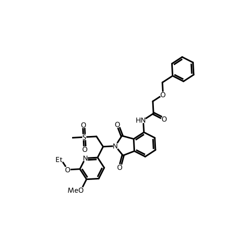 CCOc1nc(C(CS(C)(=O)=O)N2C(=O)c3cccc(NC(=O)COCc4ccccc4)c3C2=O)ccc1OC